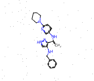 C=C(Nc1ccc(N2CCCCC2)nc1)c1n[nH]cc1NCc1ccccc1